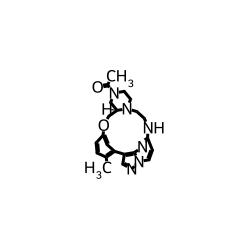 CC(=O)N1CCN2CCNc3ccn4ncc(c4n3)-c3cc(ccc3C)OC[C@H]2C1